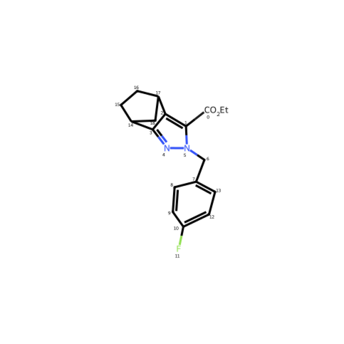 CCOC(=O)c1c2c(nn1Cc1ccc(F)cc1)C1CCC2C1